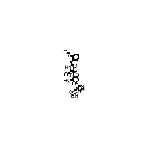 O=COc1ccccc1CC(=O)NC1C(=O)N2C(C(=O)O)=C(CSc3nnnn3CS(=O)(=O)O)CS[C@H]12